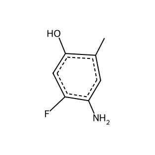 Cc1cc(N)c(F)cc1O